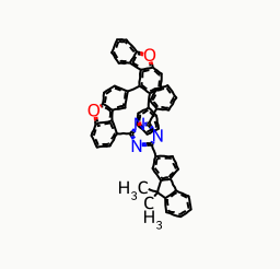 CC1(C)c2ccccc2-c2ccc(-c3nc(-c4ccccc4)nc(-c4cccc5oc6ccc(-c7c(-c8ccccc8)ccc8oc9ccccc9c78)cc6c45)n3)cc21